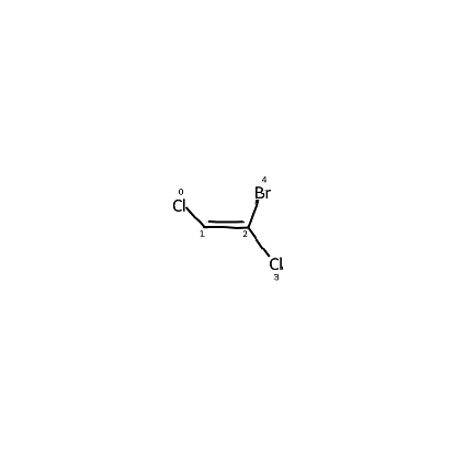 ClC=C(Cl)Br